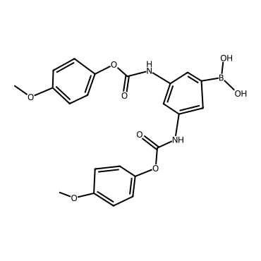 COc1ccc(OC(=O)Nc2cc(NC(=O)Oc3ccc(OC)cc3)cc(B(O)O)c2)cc1